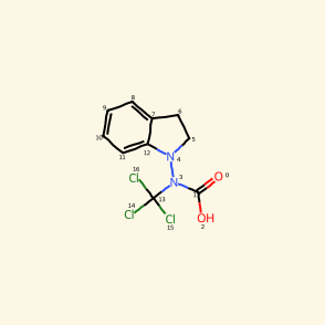 O=C(O)N(N1CCc2ccccc21)C(Cl)(Cl)Cl